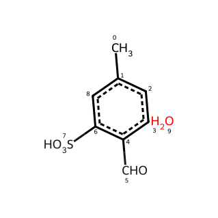 Cc1ccc(C=O)c(S(=O)(=O)O)c1.O